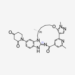 Cc1cc2cc(n1)-c1cnn(C)c1OCCC[C@@H](C)CN1/C(=N/C2=O)Nc2ccc(N3CCC(=O)CC3=O)cc21